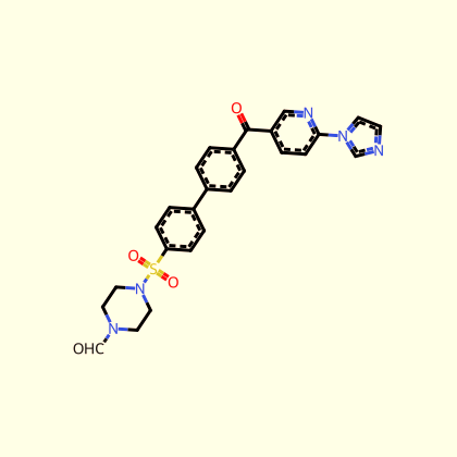 O=CN1CCN(S(=O)(=O)c2ccc(-c3ccc(C(=O)c4ccc(-n5ccnc5)nc4)cc3)cc2)CC1